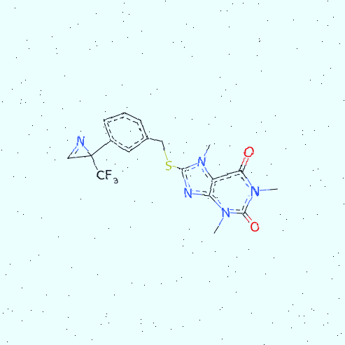 Cn1c(=O)c2c(nc(SCc3cccc(C4(C(F)(F)F)C=N4)c3)n2C)n(C)c1=O